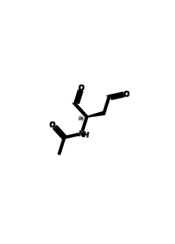 CC(=O)N[C@@H]([C]=O)C[C]=O